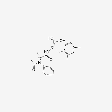 CC(=O)N(c1ccccc1)[C@H](C)C(=O)N[C@@H](Cc1ccc(C)cc1C)B(O)O